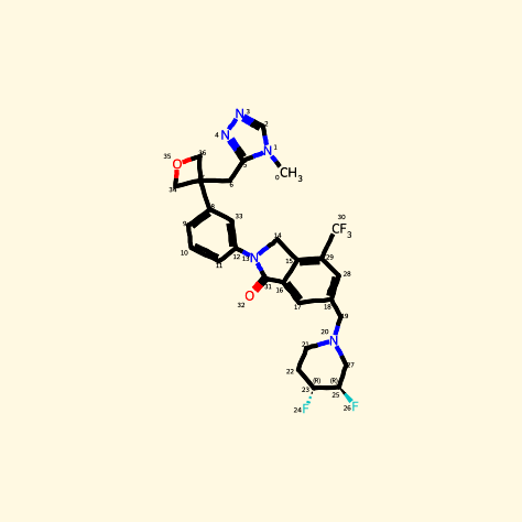 Cn1cnnc1CC1(c2cccc(N3Cc4c(cc(CN5CC[C@@H](F)[C@H](F)C5)cc4C(F)(F)F)C3=O)c2)COC1